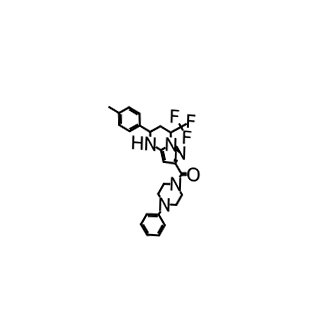 Cc1ccc(C2CC(C(F)(F)F)n3nc(C(=O)N4CCN(c5ccccc5)CC4)cc3N2)cc1